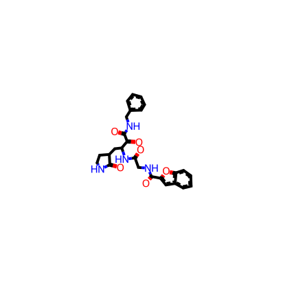 O=C(CNC(=O)c1cc2ccccc2o1)NC(CC1CCNC1=O)C(=O)C(=O)NCc1ccccc1